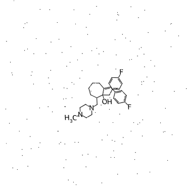 CN1CCN(CC2CCCCC(=Cc3ccc(F)cc3)C2(O)Cc2ccc(F)cc2)CC1